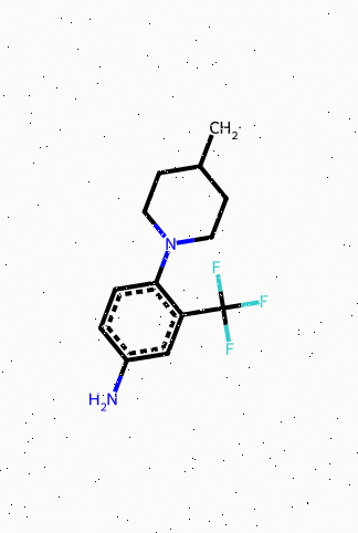 [CH2]C1CCN(c2ccc(N)cc2C(F)(F)F)CC1